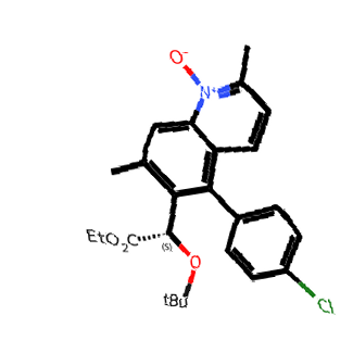 CCOC(=O)[C@@H](OC(C)(C)C)c1c(C)cc2c(ccc(C)[n+]2[O-])c1-c1ccc(Cl)cc1